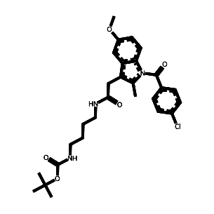 COc1ccc2c(c1)c(CC(=O)NCCCCNC(=O)OC(C)(C)C)c(C)n2C(=O)c1ccc(Cl)cc1